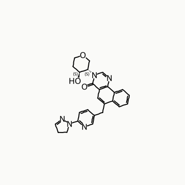 O=c1c2cc(Cc3ccc(N4CCC=N4)nc3)c3ccccc3c2ncn1[C@H]1COCC[C@@H]1O